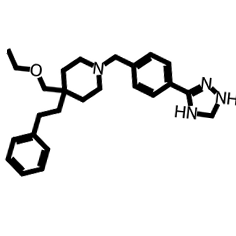 CCOCC1(CCc2ccccc2)CCN(Cc2ccc(C3=NNCN3)cc2)CC1